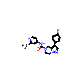 O=C(Nc1ccnc(C(F)(F)F)c1)N1CCn2ncc(-c3ccc(F)cc3)c2C1